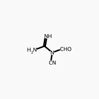 N#CN(C=O)C(=N)N